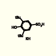 CC(C)(C)c1cc(S(=O)(=O)O)cc(C(C)(C)C)c1O.[KH]